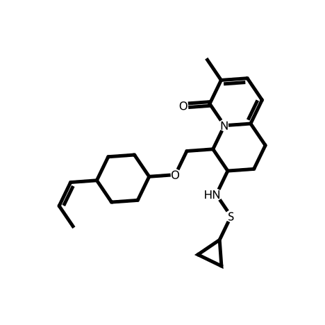 C/C=C\C1CCC(OCC2C(NSC3CC3)CCc3ccc(C)c(=O)n32)CC1